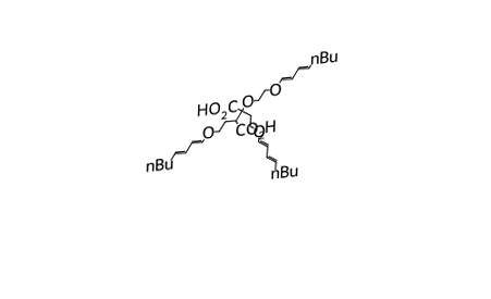 CCCCC=CC=COCCOC(CCOC=CC=CCCCC)(C(=O)O)C(CCOC=CC=CCCCC)C(=O)O